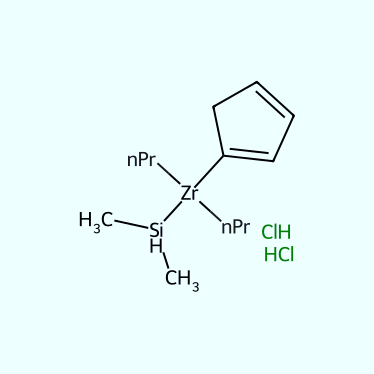 CC[CH2][Zr]([CH2]CC)([C]1=CC=CC1)[SiH](C)C.Cl.Cl